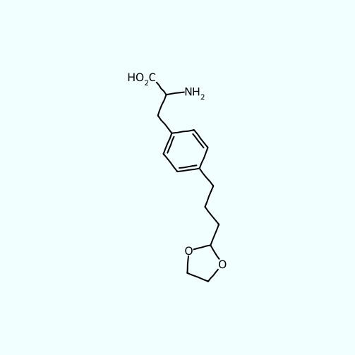 NC(Cc1ccc(CCCC2OCCO2)cc1)C(=O)O